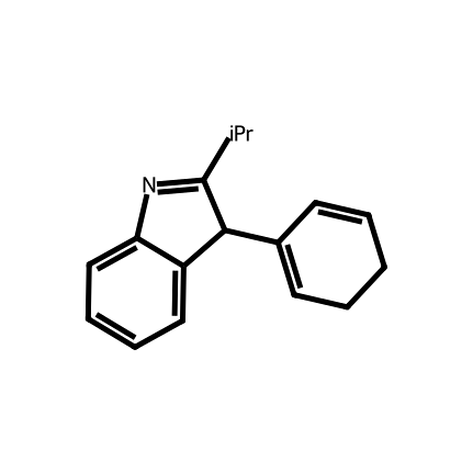 CC(C)C1=Nc2ccccc2C1C1=CCCC=C1